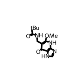 COc1[nH]c2nc[nH]c2c(=O)c1CNC(=O)C(C)(C)C